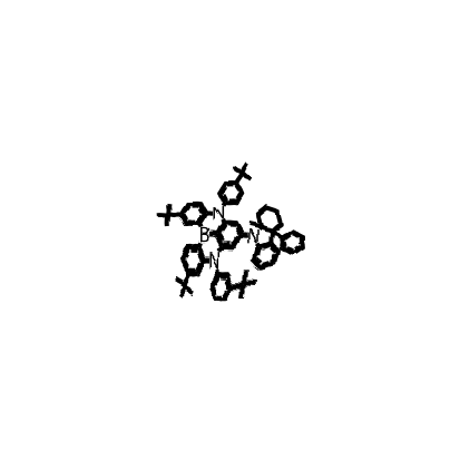 CC(C)(C)c1ccc(N2c3ccc(C(C)(C)C)cc3B3c4ccc(C(C)(C)C)cc4N(c4cccc(C(C)(C)C)c4)c4cc(N5c6ccccc6C6(c7ccccc7)CCCCC56C)cc2c43)cc1